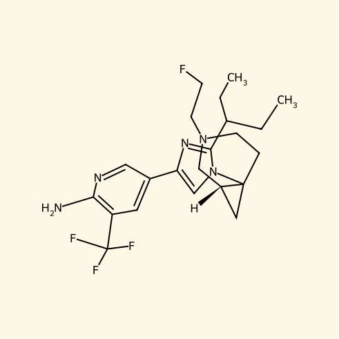 CCC(CC)c1nc(-c2cnc(N)c(C(F)(F)F)c2)cn1C12CCN(CCF)C[C@H]1C2